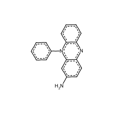 Nc1ccc2nc3ccccc3[n+](-c3ccccc3)c2c1